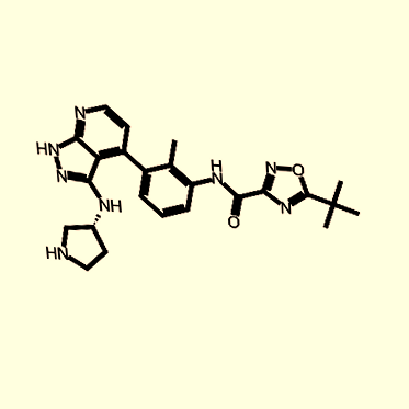 Cc1c(NC(=O)c2noc(C(C)(C)C)n2)cccc1-c1ccnc2[nH]nc(N[C@@H]3CCNC3)c12